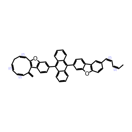 C=C1/C=C\C=C/C/C=C\c2oc3cc(-c4c5ccccc5c(-c5ccc6c(c5)oc5ccc(/C=C\C=C/C)cc56)c5ccccc45)ccc3c21